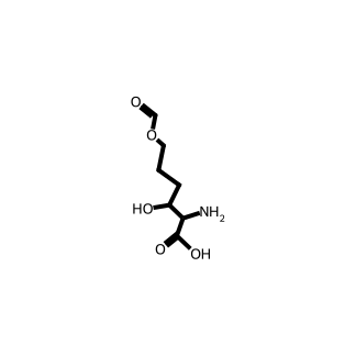 NC(C(=O)O)C(O)CCCOC=O